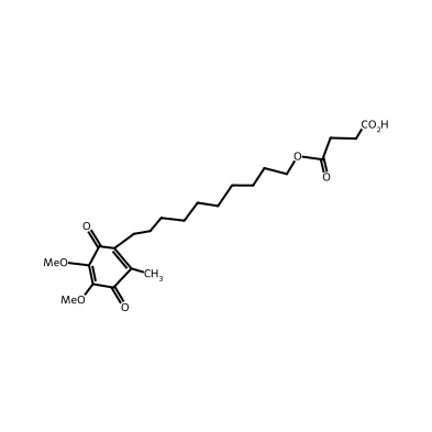 COC1=C(OC)C(=O)C(CCCCCCCCCCOC(=O)CCC(=O)O)=C(C)C1=O